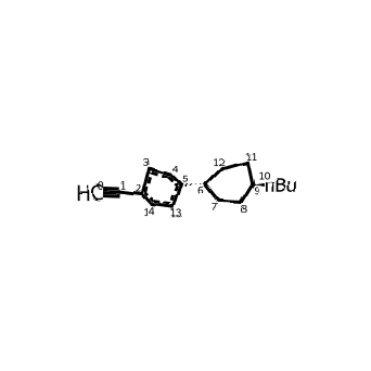 C#Cc1ccc([C@H]2CC[C@H](CCCC)CC2)cc1